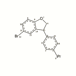 CC(C)c1ccc(C2COc3ccc(Br)cc32)cc1